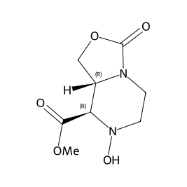 COC(=O)[C@H]1[C@@H]2COC(=O)N2CCN1O